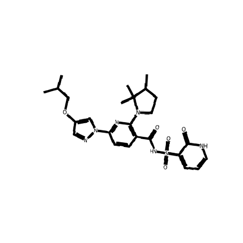 CC(C)COc1cnn(-c2ccc(C(=O)NS(=O)(=O)c3ccc[nH]c3=O)c(N3CCC(C)C3(C)C)n2)c1